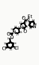 CCN(C(=O)C1CC(=O)N(C2CCN(C(=O)OCc3cc(Cl)cc(Cl)c3)CC2)C1)c1ccncc1